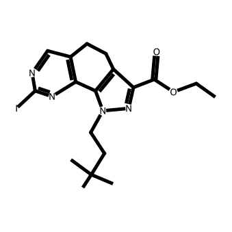 CCOC(=O)c1nn(CCC(C)(C)C)c2c1CCc1cnc(I)nc1-2